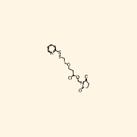 O=C(CCOCCSSc1ccccn1)OCN1C(=O)CCC1=O